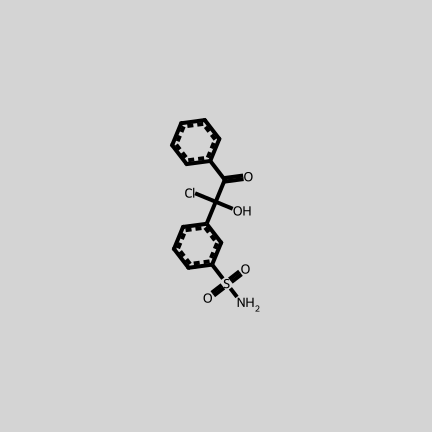 NS(=O)(=O)c1cccc(C(O)(Cl)C(=O)c2ccccc2)c1